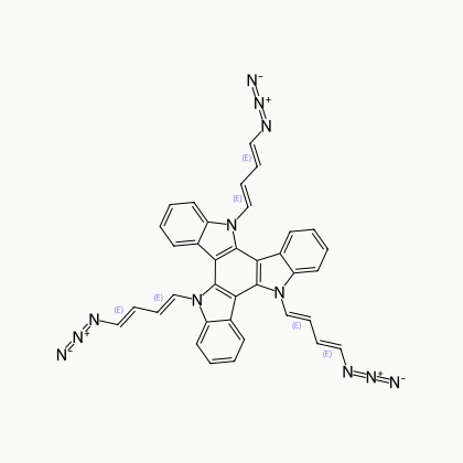 [N-]=[N+]=N/C=C/C=C/n1c2ccccc2c2c1c1c3ccccc3n(/C=C/C=C/N=[N+]=[N-])c1c1c3ccccc3n(/C=C/C=C/N=[N+]=[N-])c21